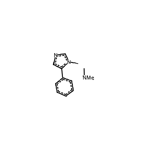 CNC.Cn1cncc1-c1ccccc1